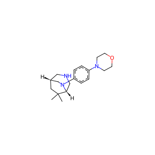 CC1(C)C[C@@H]2CNC[C@H]1N(c1ccc(N3CCOCC3)cc1)C2